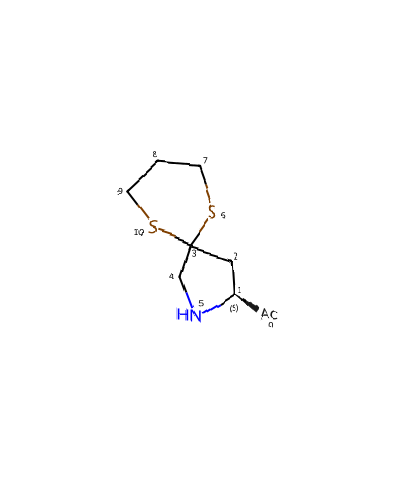 CC(=O)[C@@H]1CC2(CN1)SCCCS2